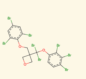 Brc1cc(Br)c(OCC2(C(Br)(Br)Oc3ccc(Br)c(Br)c3Br)COC2)c(Br)c1